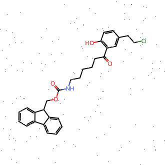 O=C(NCCCCCC(=O)c1cc(CCCl)ccc1O)OCC1c2ccccc2-c2ccccc21